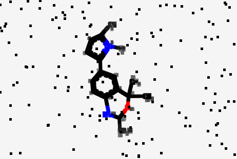 CCn1c(C#N)ccc1-c1ccc2c(c1)C(C)(C)OC(S(=O)(=O)O)N2